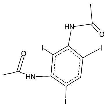 CC(=O)Nc1c(I)cc(I)c(NC(C)=O)c1I